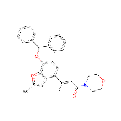 CC(=O)c1cc2c(/C(C)=C/C(=O)N3CCOCC3)ccc(OC(c3ccccc3)c3ccccc3)c2o1